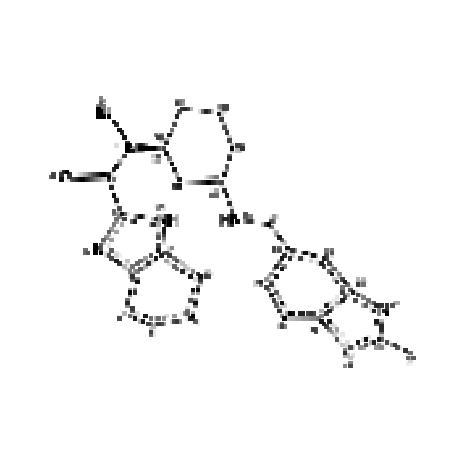 CCN(C(=O)c1nc2ccccc2[nH]1)[C@@H]1C=C(NCc2ccc3oc(C)nc3c2)CCC1